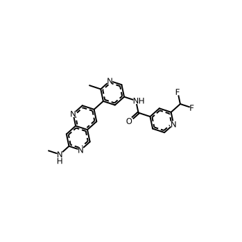 CNc1cc2ncc(-c3cc(NC(=O)c4ccnc(C(F)F)c4)cnc3C)cc2cn1